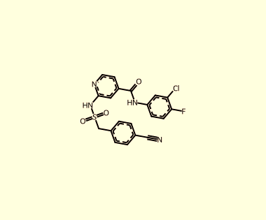 N#Cc1ccc(CS(=O)(=O)Nc2cc(C(=O)Nc3ccc(F)c(Cl)c3)ccn2)cc1